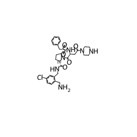 NCc1ccc(Cl)cc1CNC(=O)[C@@H]1CCCN1C(=O)C(CC(=O)N1CCNCC1)NS(=O)(=O)Cc1ccccc1